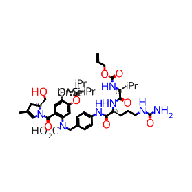 C=CCOC(=O)N[C@H](C(=O)N[C@@H](CCCNC(N)=O)C(=O)Nc1ccc(CN(C(=O)O)c2cc(O[Si](C(C)C)(C(C)C)C(C)C)c(OC)cc2C(=O)N2C=C(C)C[C@H]2CO)cc1)C(C)C